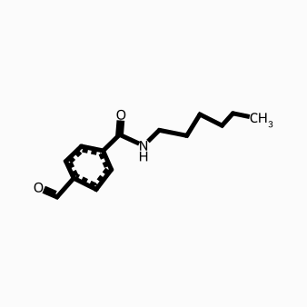 CCCCCCNC(=O)c1ccc(C=O)cc1